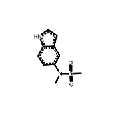 CN(c1ccc2[nH]ccc2c1)S(C)(=O)=O